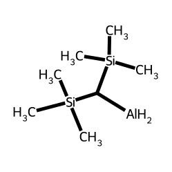 C[Si](C)(C)[CH]([AlH2])[Si](C)(C)C